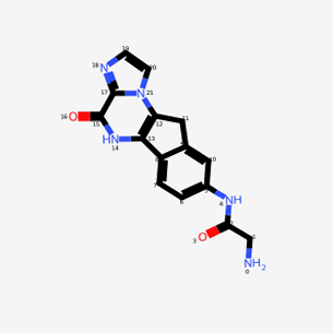 NCC(=O)Nc1ccc2c(c1)Cc1c-2[nH]c(=O)c2nccn12